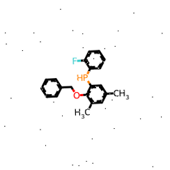 Cc1cc(C)c(OCc2ccccc2)c(Pc2ccccc2F)c1